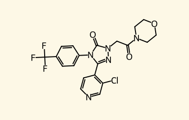 O=C(Cn1nc(-c2ccncc2Cl)n(-c2ccc(C(F)(F)F)cc2)c1=O)N1CCOCC1